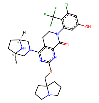 O=C1c2nc(SCC34CCCN3CCC4)nc(N3C[C@H]4CC[C@@H](C3)N4)c2CCN1c1cc(O)cc(Cl)c1C(F)(F)F